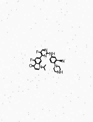 CC(C)n1ccc(=O)c2c(F)cc(-c3nc(Nc4ccc(N5CCNCC5)c(C#N)c4)ncc3F)cc21